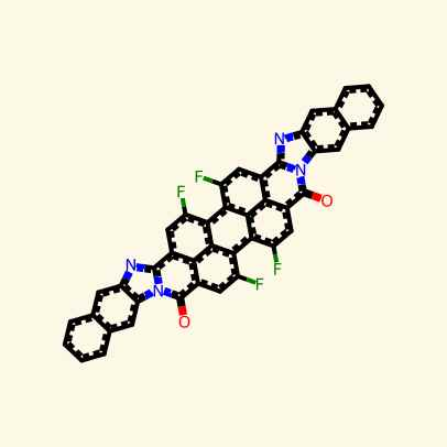 O=c1c2cc(F)c3c4c(F)cc5c(=O)n6c7cc8ccccc8cc7nc6c6cc(F)c(c7c(F)cc(c2c37)c2nc3cc7ccccc7cc3n12)c4c56